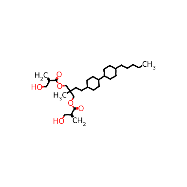 C=C(CO)C(=O)OCC(C)(CCC1CCC(C2CCC(CCCCC)CC2)CC1)COC(=O)C(=C)CO